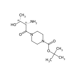 C[C@@H](O)[C@H](N)C(=O)N1CCN(C(=O)OC(C)(C)C)CC1